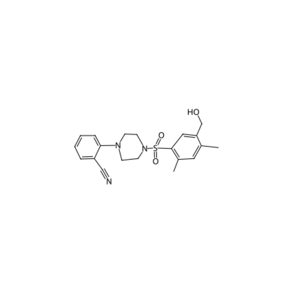 Cc1cc(C)c(S(=O)(=O)N2CCN(c3ccccc3C#N)CC2)cc1CO